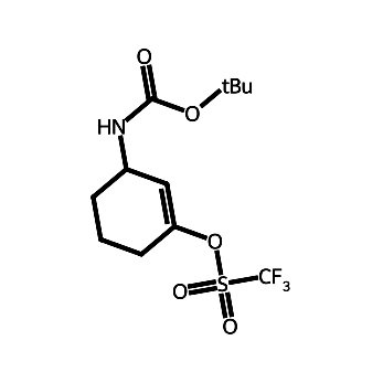 CC(C)(C)OC(=O)NC1C=C(OS(=O)(=O)C(F)(F)F)CCC1